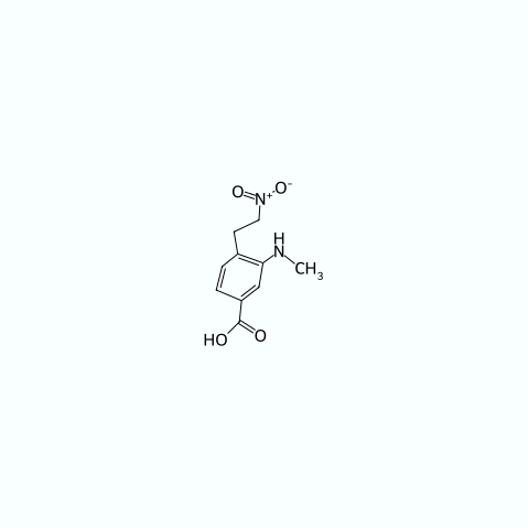 CNc1cc(C(=O)O)ccc1CC[N+](=O)[O-]